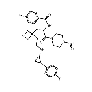 O=[SH]N1CCN(C(=O)[C@H](CC2(CCN[C@H]3C[C@@H]3c3ccc(F)cc3)COC2)NC(=O)c2ccc(F)cc2)CC1